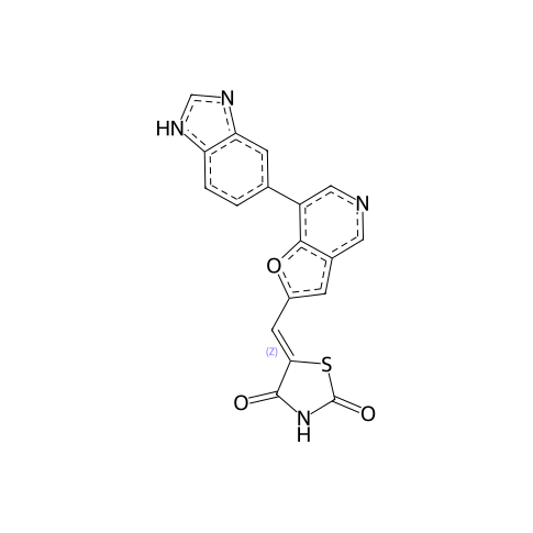 O=C1NC(=O)/C(=C/c2cc3cncc(-c4ccc5[nH]cnc5c4)c3o2)S1